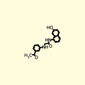 CC(=O)c1cccc(NCC(=O)Nc2cccc3ccc(O)cc23)c1